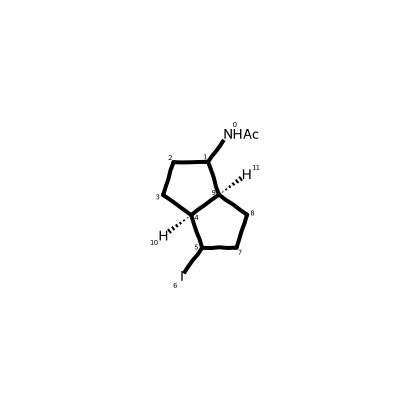 CC(=O)NC1CC[C@@H]2C(I)CC[C@H]12